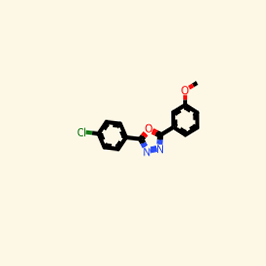 COc1cccc(-c2nnc(-c3ccc(Cl)cc3)o2)c1